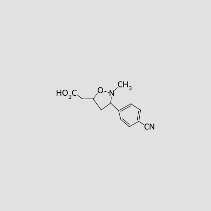 CN1OC(CC(=O)O)CC1c1ccc(C#N)cc1